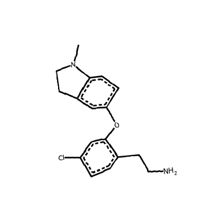 CN1CCc2cc(Oc3cc(Cl)ccc3CCN)ccc21